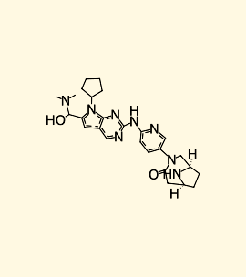 CN(C)C(O)c1cc2cnc(Nc3ccc(N4C[C@H]5CC[C@@H](CC4=O)N5)cn3)nc2n1C1CCCC1